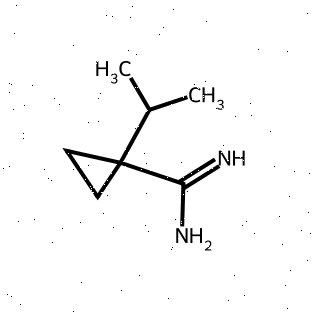 CC(C)C1(C(=N)N)CC1